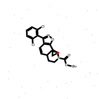 CC(C)(C)OC(=O)N1CCC(/C=C\c2c(-c3c(Cl)cccc3Cl)noc2C2CC2)CC1